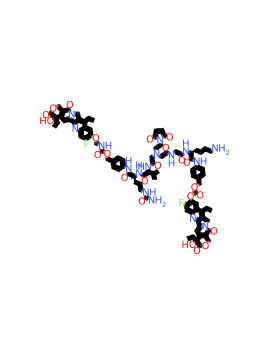 CCc1c2c(nc3cc(F)c(OCNC(=O)OCc4ccc(NC(=O)[C@H](CCCNC(N)=O)NC(=O)[C@@H](NC(=O)CN(CCN5C(=O)C=CC5=O)CC(=O)NCC(=O)N[C@@H](CCCCN)C(=O)Nc5ccc(COC(=O)Oc6cc7c(CC)c8c(nc7cc6F)-c6cc7c(c(=O)n6C8)COC(=O)[C@]7(O)CC)cc5)C(C)C)cc4)cc13)-c1cc3c(c(=O)n1C2)COC(=O)[C@]3(O)CC